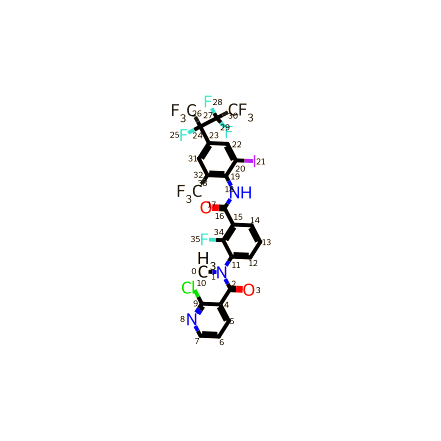 CN(C(=O)c1cccnc1Cl)c1cccc(C(=O)Nc2c(I)cc(C(F)(C(F)(F)F)C(F)(F)C(F)(F)F)cc2C(F)(F)F)c1F